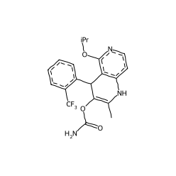 CC1=C(OC(N)=O)C(c2ccccc2C(F)(F)F)c2c(ccnc2OC(C)C)N1